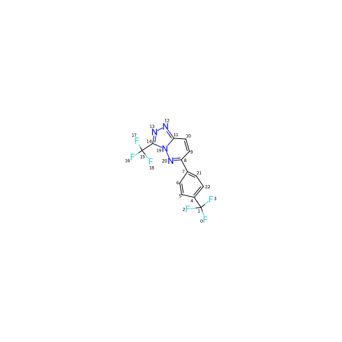 FC(F)(F)c1ccc(-c2ccc3nnc(C(F)(F)F)n3n2)cc1